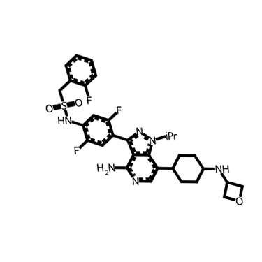 CC(C)n1nc(-c2cc(F)c(NS(=O)(=O)Cc3ccccc3F)cc2F)c2c(N)ncc(C3CCC(NC4COC4)CC3)c21